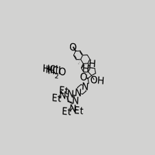 CCN(CC)c1cc(N(CC)CC)nc(N2CCN(CC(=O)[C@@]3(O)CC[C@H]4[C@@H]5CCC6=CC(=O)C=C[C@]6(C)C5=CC[C@@]43C)CC2)n1.Cl.Cl.O